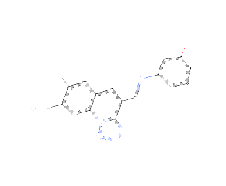 COc1cc2cc(/C=N/c3cccc(O)c3)c3nnnn3c2cc1OC